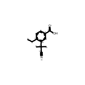 CCc1ccc(C(=O)O)cc1C(C)(C)C#N